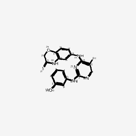 Oc1cccc(Nc2ncc(F)c(Nc3ccc4c(c3)NC(=S)CO4)n2)c1